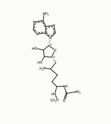 NC(=O)NC(CCC(N)C[C@H]1O[C@@H](n2cnc3c(N)ncnc32)C(O)C1O)NC(=O)O